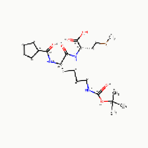 CSCC[C@H](NC(=O)[C@H](CCCCNC(=O)OC(C)(C)C)NC(=O)C1CCCC1)C(=O)O